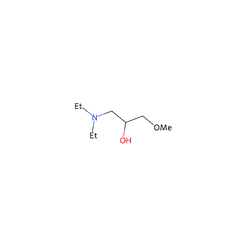 CCN(CC)CC(O)COC